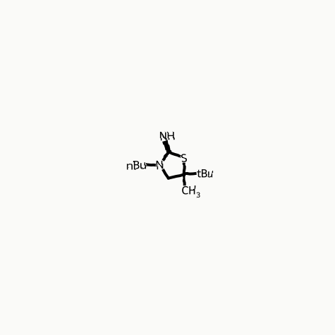 CCCCN1CC(C)(C(C)(C)C)SC1=N